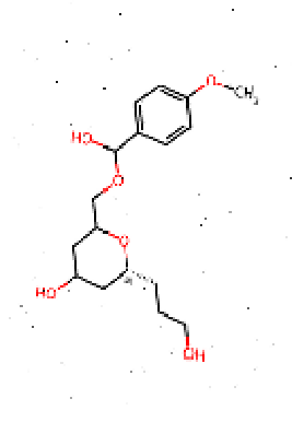 COc1ccc(C(O)OCC2CC(O)C[C@@H](CCCO)O2)cc1